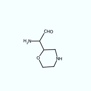 NC(C=O)C1CNCCO1